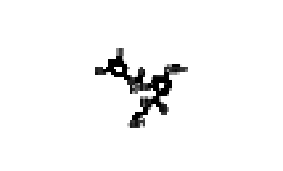 COc1ccc(C(=O)NCCO)c(NC(=O)Nc2cc(F)cc(Cl)c2)c1